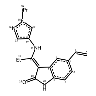 C=Cc1ccc2c(c1)C(=C(CC)Nc1cnn(C(C)C)c1)C(=O)N2